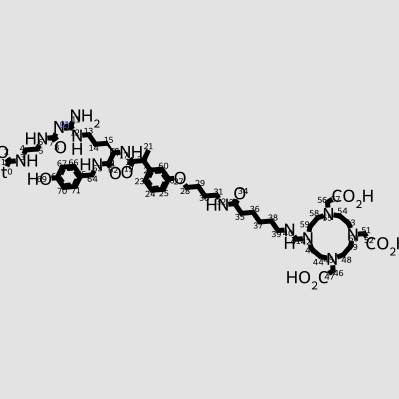 CCC(=O)NCCNC(=O)/N=C(/N)NCCC[C@@H](NC(=O)C(C)c1cccc(OCCCCNC(=O)CCCCCNCN2CCN(CC(=O)O)CCN(CC(=O)O)CCN(CC(=O)O)CC2)c1)C(=O)NCc1ccc(O)cc1